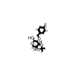 CC1(C)O[C@@H]2[C@@H](OCc3ccc(F)cc3)[C@@H](O)OC[C@@H]2O1